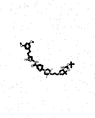 COc1cc(CCc2cc(NC(=O)c3ccc(N4C[C@@H](C)N(CCCN5C[C@H](NC(=O)OC(C)(C)C)C(C)(C)C5)[C@@H](C)C4)cc3)n[nH]2)cc(OC)c1